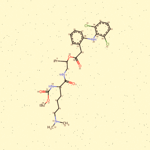 CC(C)C(CNC(=O)C(CCCCN(C)C)NC(=O)OC(C)(C)C)OC(=O)Cc1ccccc1Nc1c(Cl)cccc1Cl